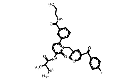 CNC(C)C(=O)Nc1ccc(-c2cccc(C(=O)NCCO)c2)n(Cc2cncc(C(=O)c3ccc(F)cc3)c2)c1=O